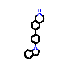 c1ccc2c(c1)CCN2c1ccc(-c2ccc3c(c2)CCNC3)cc1